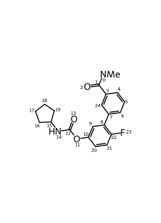 CNC(=O)c1cccc(-c2cc(OC(=O)NC3CCCC3)ccc2F)c1